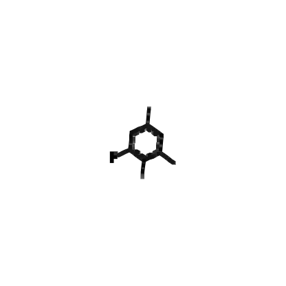 Cc1cc(C)c(C)c(F)c1